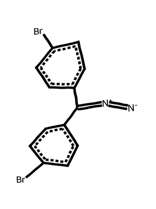 [N-]=[N+]=C(c1ccc(Br)cc1)c1ccc(Br)cc1